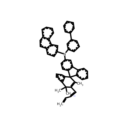 C=C/C=C\C1=C(C)C2(c3ccccc3-c3cc(N(c4cccc(-c5ccccc5)c4)c4ccc5ccc6ccccc6c5c4)ccc32)c2ccccc2C1(C)C